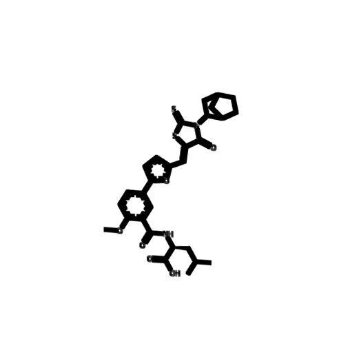 COc1ccc(-c2ccc(C=C3SC(=S)N(C4CC5CCC4C5)C3=O)o2)cc1C(=O)N[C@@H](CC(C)C)C(=O)O